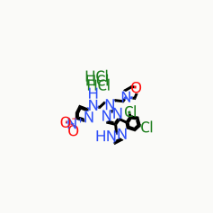 Cl.Cl.Cl.O=[N+]([O-])c1ccc(NCCN(CCN2CCOCC2)c2ncc(-c3ncc[nH]3)c(-c3ccc(Cl)cc3Cl)n2)nc1